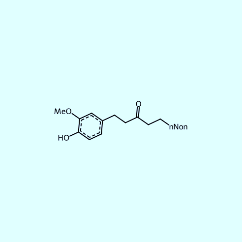 CCCCCCCCCCCC(=O)CCc1ccc(O)c(OC)c1